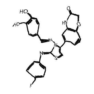 O=C1COc2ccc(-c3cs/c(=N\c4ccc(F)cc4)n3/N=C/c3ccc(O)c(O)c3)cc2N1